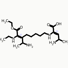 CCN/C(C(=O)OCC)=C(/CCCCCN/C(=C\C(C)N)C(=O)O)C(C)N